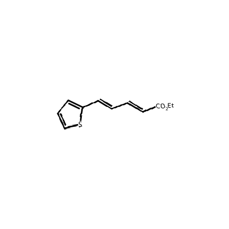 CCOC(=O)C=CC=Cc1cccs1